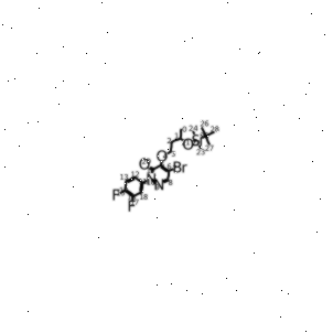 CC(CCOc1c(Br)cnn(-c2ccc(F)c(F)c2)c1=O)O[Si](C)(C)C(C)(C)C